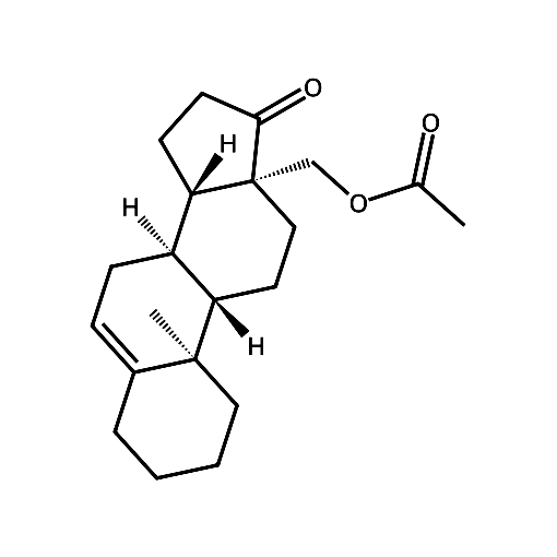 CC(=O)OC[C@]12CC[C@H]3[C@@H](CC=C4CCCC[C@@]43C)[C@@H]1CCC2=O